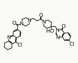 O=C(CCN1CCN(C(=O)c2ccc3c(Cl)c4c(nc3c2)CCCC4)CC1)N1CCC(O)(Cn2cnc3cc(Cl)ccc3c2=O)CC1